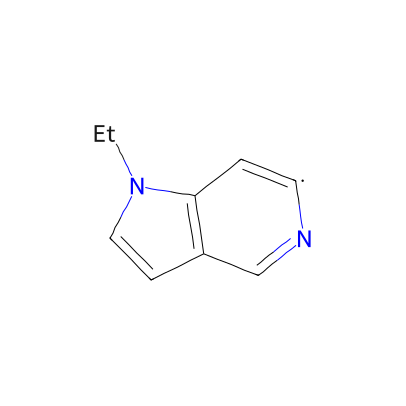 CCn1ccc2cn[c]cc21